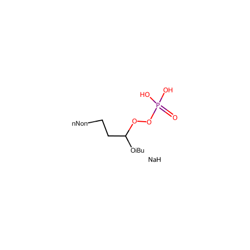 CCCCCCCCCCCC(OCC(C)C)OOP(=O)(O)O.[NaH]